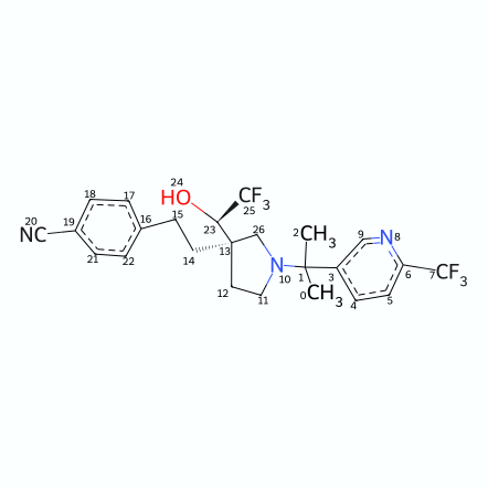 CC(C)(c1ccc(C(F)(F)F)nc1)N1CC[C@@](CCc2ccc(C#N)cc2)([C@@H](O)C(F)(F)F)C1